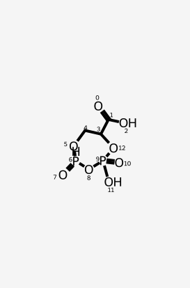 O=C(O)C1CO[PH](=O)OP(=O)(O)O1